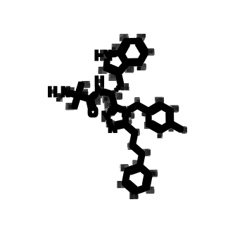 Cc1ccc(Cn2c(CCCc3ccccc3)nnc2[C@@H](Cc2c[nH]c3ccccc23)NC(=O)C(C)(C)N)cc1